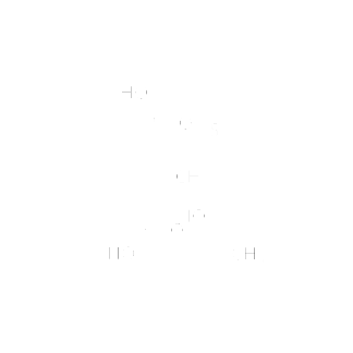 CC(O)Cc1ccsc1.Cc1c(C(=O)O)cccc1C(=O)O